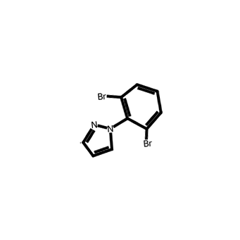 Brc1cccc(Br)c1-n1cc[c]n1